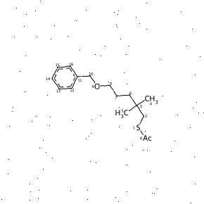 CC(=O)SCC(C)(C)CCCOCc1ccccc1